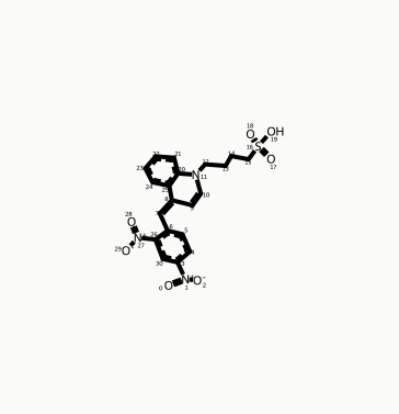 O=[N+]([O-])c1ccc(C=C2C=CN(CCCCS(=O)(=O)O)c3ccccc32)c([N+](=O)[O-])c1